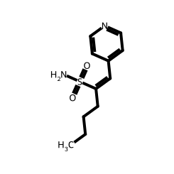 CCCCC(=Cc1ccncc1)S(N)(=O)=O